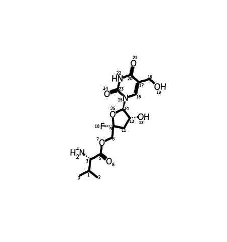 CC(C)[C@H](N)C(=O)OC[C@]1(F)C[C@@H](O)[C@H](n2cc(CO)c(=O)[nH]c2=O)O1